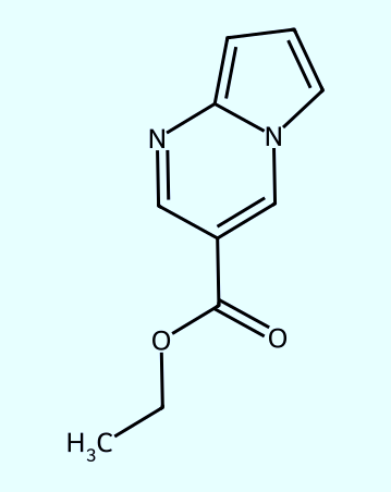 CCOC(=O)c1cnc2cccn2c1